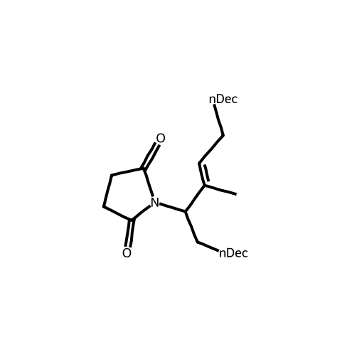 CCCCCCCCCCCC=C(C)C(CCCCCCCCCCC)N1C(=O)CCC1=O